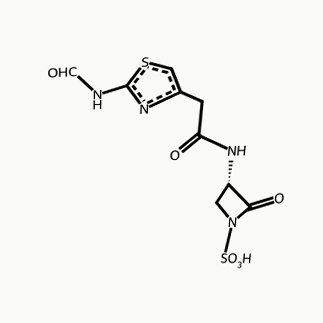 O=CNc1nc(CC(=O)N[C@H]2CN(S(=O)(=O)O)C2=O)cs1